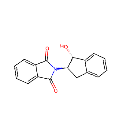 O=C1c2ccccc2C(=O)N1[C@@H]1Cc2ccccc2[C@H]1O